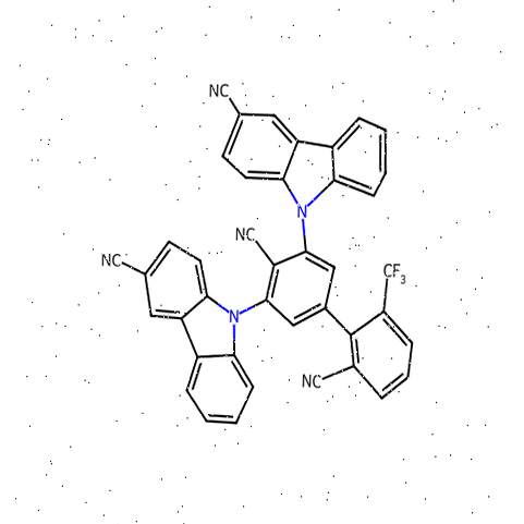 N#Cc1ccc2c(c1)c1ccccc1n2-c1cc(-c2c(C#N)cccc2C(F)(F)F)cc(-n2c3ccccc3c3cc(C#N)ccc32)c1C#N